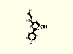 Cl.FCCNc1ccnc(C2CCNCC2)n1